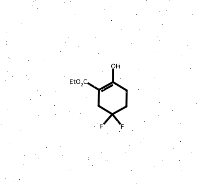 CCOC(=O)C1=C(O)CCC(F)(F)C1